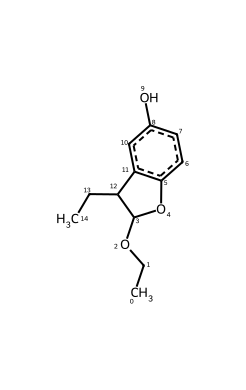 CCOC1Oc2ccc(O)cc2C1CC